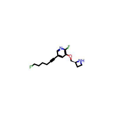 FCCCCC#Cc1cnc(F)c(OC[C@@H]2CCN2)c1